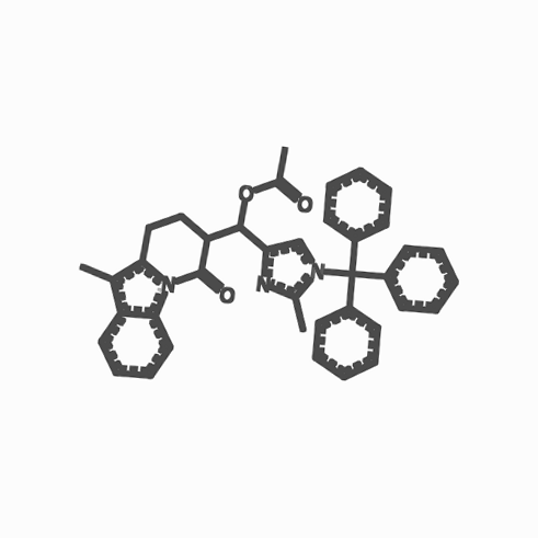 CC(=O)OC(c1cn(C(c2ccccc2)(c2ccccc2)c2ccccc2)c(C)n1)C1CCc2c(C)c3ccccc3n2C1=O